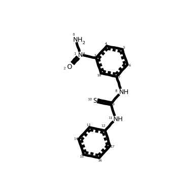 N[N+](=O)c1cccc(NC(=S)Nc2cc[c]cc2)c1